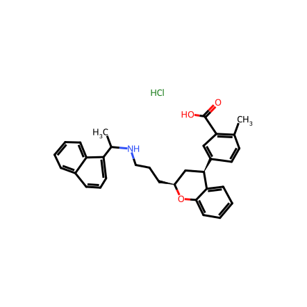 Cc1ccc([C@@H]2C[C@H](CCCNC(C)c3cccc4ccccc34)Oc3ccccc32)cc1C(=O)O.Cl